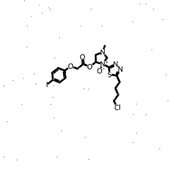 CN1CC(OC(=O)COc2ccc(I)cc2)[N+]([O-])(c2nnc(CCCCCl)s2)C1